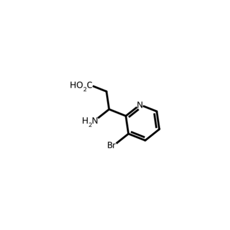 NC(CC(=O)O)c1ncccc1Br